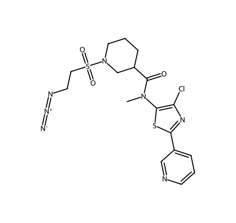 CN(C(=O)C1CCCN(S(=O)(=O)CCN=[N+]=[N-])C1)c1sc(-c2cccnc2)nc1Cl